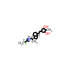 C=C1[C@H](O)CC(=CC=C2CCC[C@]3(C)[C@@H](C(C)CN4CC(C(C)(F)F)C4)CC[C@@H]23)C[C@H]1O